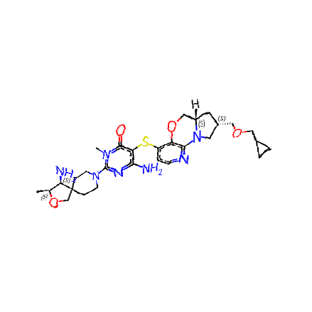 C[C@@H]1OCC2(CCN(c3nc(N)c(Sc4ccnc5c4OC[C@@H]4C[C@H](COCC6CC6)CN54)c(=O)n3C)CC2)[C@@H]1N